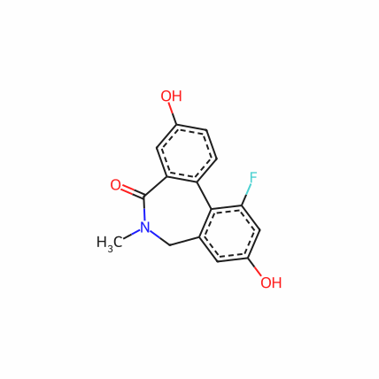 CN1Cc2cc(O)cc(F)c2-c2ccc(O)cc2C1=O